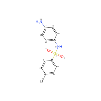 CCc1ccc(S(=O)(=O)Nc2ccc(N)cc2)cc1